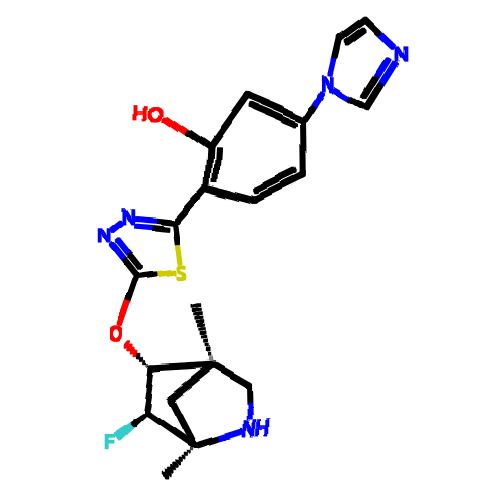 C[C@]12CN[C@](C)(C1)[C@@H](F)[C@@H]2Oc1nnc(-c2ccc(-n3ccnc3)cc2O)s1